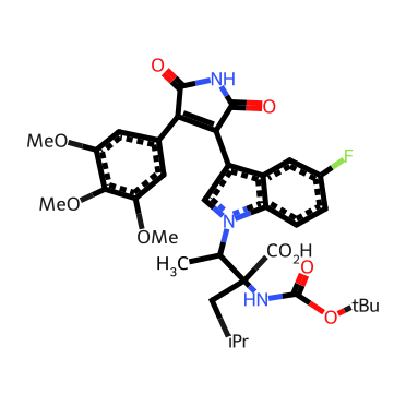 COc1cc(C2=C(c3cn(C(C)C(CC(C)C)(NC(=O)OC(C)(C)C)C(=O)O)c4ccc(F)cc34)C(=O)NC2=O)cc(OC)c1OC